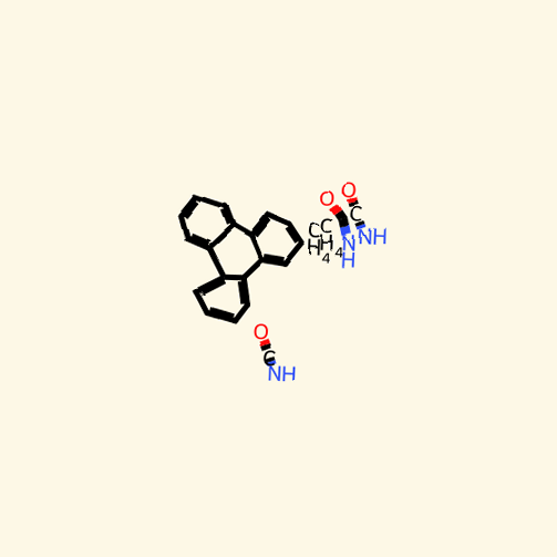 C.C.N=C=O.N=C=O.N=C=O.c1ccc2c(c1)c1ccccc1c1ccccc21